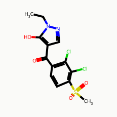 CCn1ncc(C(=O)c2ccc(S(C)(=O)=O)c(Cl)c2Cl)c1O